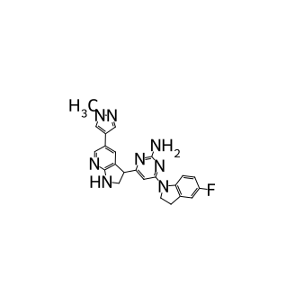 Cn1cc(-c2cnc3c(c2)C(c2cc(N4CCc5cc(F)ccc54)nc(N)n2)CN3)cn1